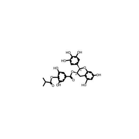 CC(C)C(=O)Oc1c(O)cc(C(=O)O[C@@H]2Cc3c(O)cc(O)cc3O[C@@H]2c2cc(O)c(O)c(O)c2)cc1O